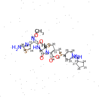 CO/N=C(\C(=O)N[C@@H]1C(=O)N2C(C(=O)[O-])=C(CSc3cc[n+](NC4CCCC4)cc3)CS[C@H]12)c1csc(N)n1